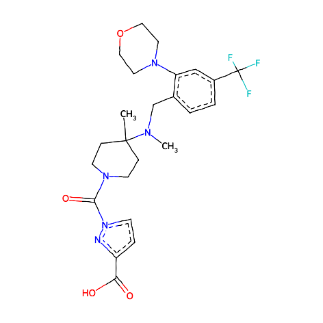 CN(Cc1ccc(C(F)(F)F)cc1N1CCOCC1)C1(C)CCN(C(=O)n2ccc(C(=O)O)n2)CC1